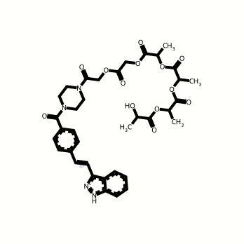 CC(O)C(=O)OC(C)C(=O)OC(C)C(=O)OC(C)C(=O)OCC(=O)OCC(=O)N1CCN(C(=O)c2ccc(/C=C/c3n[nH]c4ccccc34)cc2)CC1